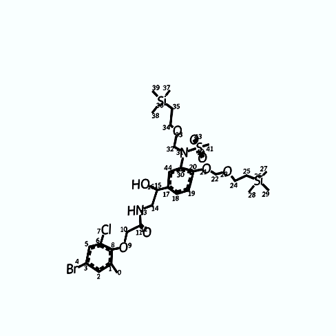 Cc1cc(Br)cc(Cl)c1OCC(=O)NCC(O)c1ccc(OCOCC[Si](C)(C)C)c(N(COCC[Si](C)(C)C)S(C)(=O)=O)c1